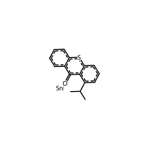 CC(C)c1cccc2sc3ccccc3c(=O)c12.[Sn]